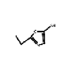 CCc1ncc(S)o1